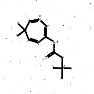 CC1(C)C=CC(NC(=O)CC(C)(C)C)=CN=C1